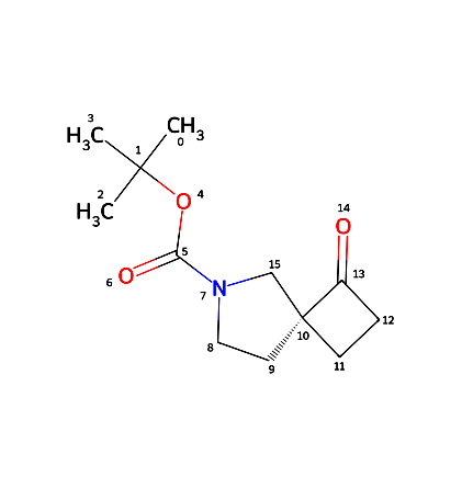 CC(C)(C)OC(=O)N1CC[C@]2(CCC2=O)C1